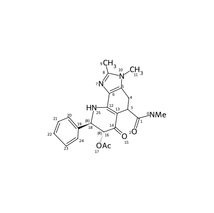 CNC(=O)C1Cc2c(nc(C)n2C)C2=C1C(=O)[C@H](OC(C)=O)[C@@H](c1ccccc1)N2